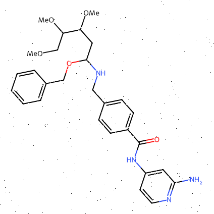 COCC(OC)C(CC(NCc1ccc(C(=O)Nc2ccnc(N)c2)cc1)OCc1ccccc1)OC